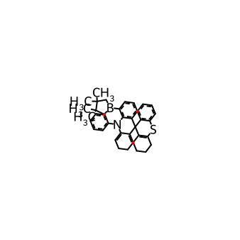 CC1(C)CB(c2cccc3c2N(c2ccccc2)C2=CCCC=C2C32C3=C(CCCC3)Sc3ccccc32)CC1(C)C